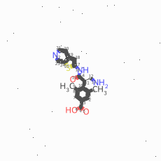 Cc1cc(C(=O)O)cc(C)c1[C@@H](CN)C(=O)Nc1cc2ccncc2s1